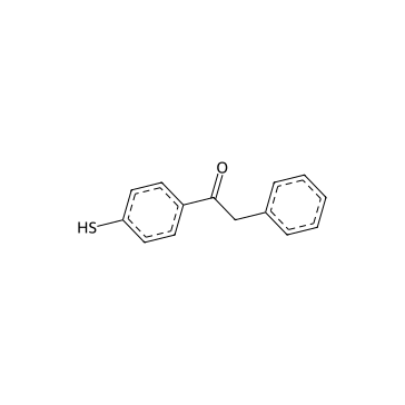 O=C(Cc1ccccc1)c1ccc(S)cc1